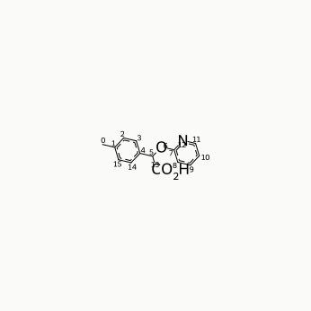 Cc1ccc(C(Oc2ccccn2)C(=O)O)cc1